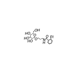 CCc1ccccc1C(=O)NCCCO[C@@H]1O[C@H](CO)[C@@H](O)[C@H](O)[C@H]1O